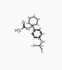 CC(=O)OC1(c2ccc(OC(F)F)cc2)CCCCC1